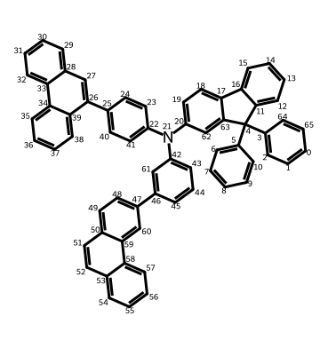 c1ccc(C2(c3ccccc3)c3ccccc3-c3ccc(N(c4ccc(-c5cc6ccccc6c6ccccc56)cc4)c4cccc(-c5ccc6ccc7ccccc7c6c5)c4)cc32)cc1